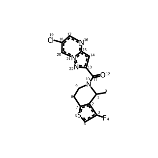 CC1c2c(F)csc2CCN1C(=O)c1cc2ncc(Cl)cn2n1